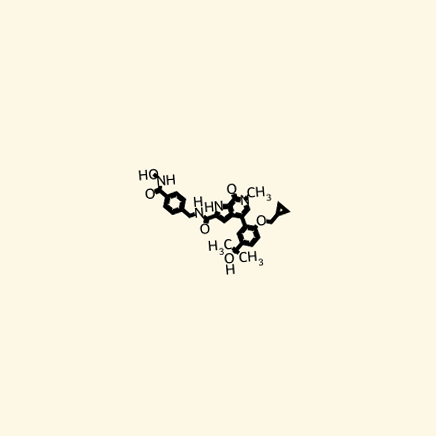 Cn1cc(-c2cc(C(C)(C)O)ccc2OCC2CC2)c2cc(C(=O)NCc3ccc(C(=O)NO)cc3)[nH]c2c1=O